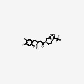 Cc1cc(C[C@@H](N)CC(=O)N2CCn3c(nnc3C(F)(F)F)C2)c(F)cc1F